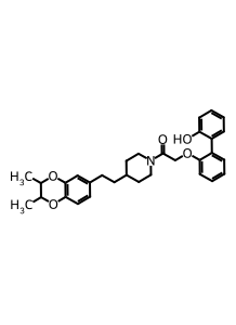 CC1Oc2ccc(CCC3CCN(C(=O)COc4ccccc4-c4ccccc4O)CC3)cc2OC1C